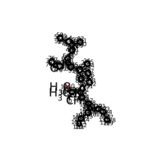 CCc1cc(-n2c3ccc(-c4cccc(-c5cccc(-c6c(-c7ccccc7)cc(-c7ccc8c(c7)c7cc(-c9ccc%10c(c9)c9cc(-c%11ccccc%11)ccc9n%10-c9ccccc9)ccc7n8-c7ccc8oc9ccccc9c8c7)cc6-c6ccccc6)c5)c4)cc3c3cc(-c4ccc5c(c4)c4cc(-c6ccc7ccccc7c6)ccc4n5-c4ccc5ccc(-c6ccccc6)cc5c4)ccc32)cc(CC)c1C